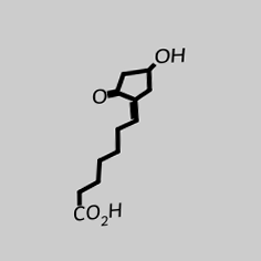 O=C(O)CCCCCC=C1CC(O)CC1=O